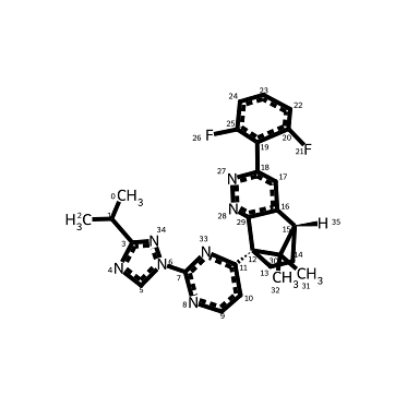 CC(C)c1ncn(-c2nccc([C@]34CC[C@@H](c5cc(-c6c(F)cccc6F)nnc53)C4(C)C)n2)n1